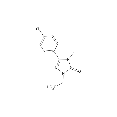 Cn1c(-c2ccc(Cl)cc2)nn(CC(=O)O)c1=O